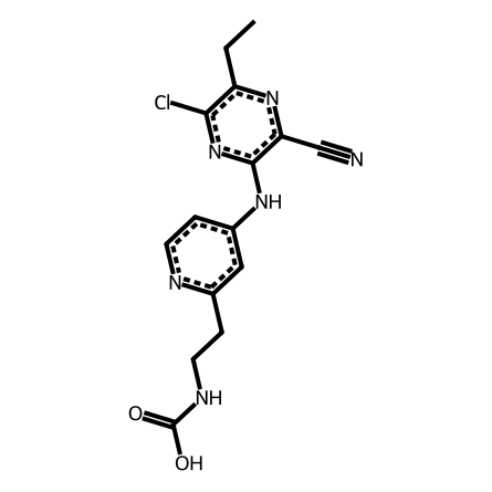 CCc1nc(C#N)c(Nc2ccnc(CCNC(=O)O)c2)nc1Cl